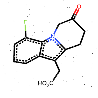 O=C(O)Cc1c2n(c3c(F)cccc13)CC(=O)CC2